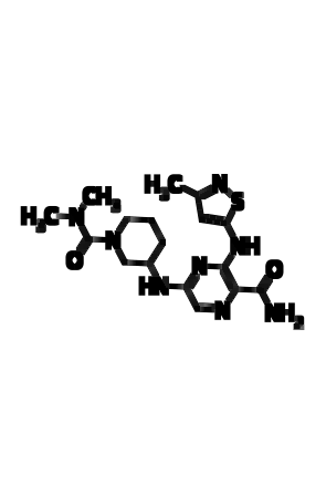 Cc1cc(Nc2nc(NC3CCCN(C(=O)N(C)C)C3)cnc2C(N)=O)sn1